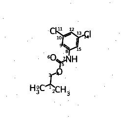 CC(C)COC(=O)Nc1cc(Cl)cc(Cl)c1